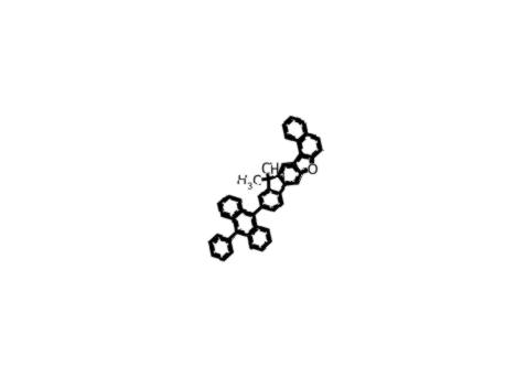 CC1(C)c2cc(-c3c4ccccc4c(-c4ccccc4)c4ccccc34)ccc2-c2cc3oc4ccc5ccccc5c4c3cc21